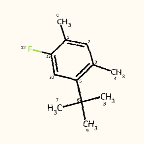 Cc1cc(C)c(C(C)(C)C)cc1F